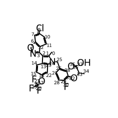 Cc1c(-c2noc3cc(Cl)ccc23)c2ccc(OC(F)(F)F)cc2n1Cc1ccc(F)c(O[C@H](C)C(=O)O)c1